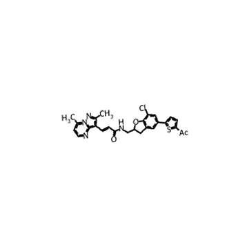 CC(=O)c1ccc(-c2cc(Cl)c3c(c2)CC(CNC(=O)/C=C/c2c(C)nn4c(C)ccnc24)O3)s1